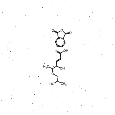 CC(O)COC(C)C(O)C=CC(=O)O.O=C1OC(=O)c2ccccc21